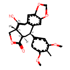 COc1cc([C@@H]2c3cc4c(cc3[C@H](O)[C@H]3COC(=O)[C@H]23)OCO4)cc(OC)c1C